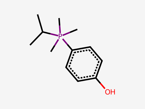 CC(C)P(C)(C)(C)c1ccc(O)cc1